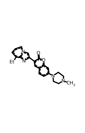 CCc1cccn2cc(-c3cc4ccc(N5CCN(C)CC5)cc4oc3=O)nc12